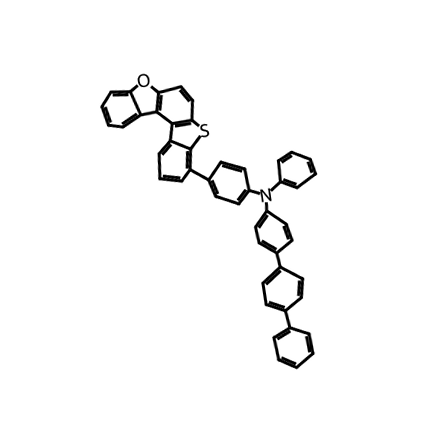 c1ccc(-c2ccc(-c3ccc(N(c4ccccc4)c4ccc(-c5cccc6c5sc5ccc7oc8ccccc8c7c56)cc4)cc3)cc2)cc1